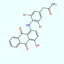 CC(=O)Cc1cc(Br)c(Nc2ccc(O)c3c2C(=O)c2ccccc2C3=O)c(Br)c1